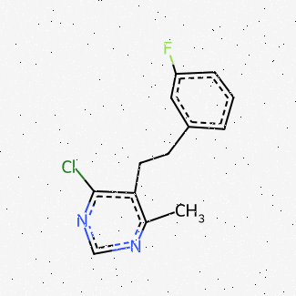 Cc1ncnc(Cl)c1CCc1cccc(F)c1